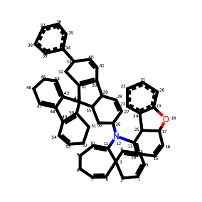 C1=CCC2(C=C1)C=CCCC=C2N(C1=CC=CC2Oc3ccccc3C12)C1C=CC2C3=C(CC(c4ccccc4)C=C3)C3(C4=CCCC=C4C4=C3CCC=C4)C2C1